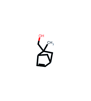 CC1(CO)CC2C=CC1C2